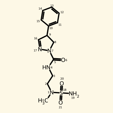 CN(CCNC(=O)N1CC(c2ccccc2)C=N1)S(N)(=O)=O